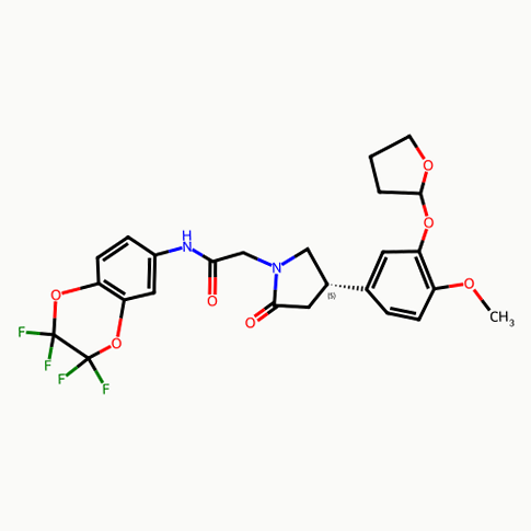 COc1ccc([C@@H]2CC(=O)N(CC(=O)Nc3ccc4c(c3)OC(F)(F)C(F)(F)O4)C2)cc1OC1CCCO1